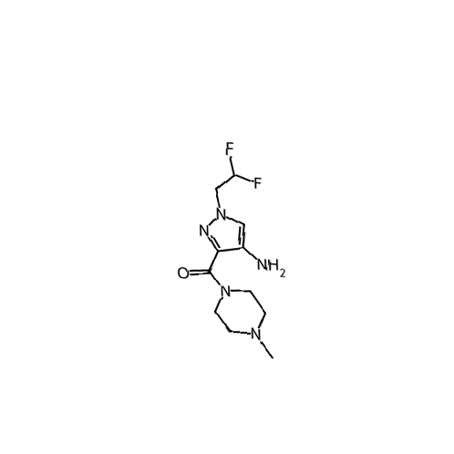 CN1CCN(C(=O)c2nn(CC(F)F)cc2N)CC1